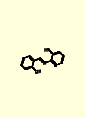 Oc1ccccc1C=Nc1ncccc1S